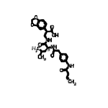 C=CCC(=O)Nc1ccc(CC(=O)N[C@@H](CC(C)C)C(=O)NCC(C(=O)O)c2ccc3c(c2)OCO3)cc1